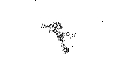 COc1ccc2nccc(C(O)CC[C@@H]3CCN(CCCCc4cccnc4)C[C@@H]3CC(=O)O)c2c1